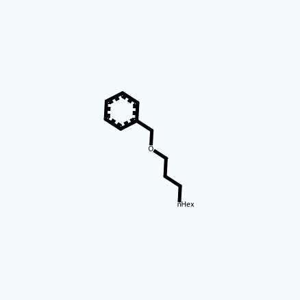 CCCCCCCC[CH]OCc1ccccc1